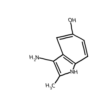 Cc1[nH]c2ccc(O)cc2c1N